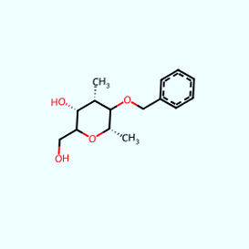 C[C@@H]1OC(CO)[C@H](O)[C@H](C)C1OCc1ccccc1